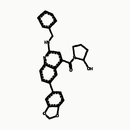 O=C(c1cc(NCc2ccccc2)nc2ccc(-c3ccc4c(c3)OCO4)cc12)N1CCCC1O